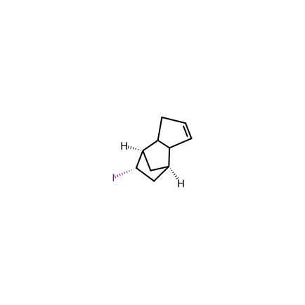 I[C@H]1C[C@H]2C[C@@H]1C1CC=CC12